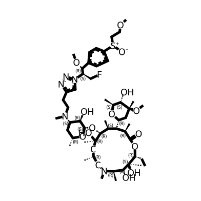 CC[C@H]1OC(=O)[C@H](C)C([C@H]2C[C@@](C)(OC)[C@@H](O)[C@H](C)O2)[C@H](C)[C@@H](O[C@@H]2O[C@H](C)C[C@H](N(C)CCc3cn([C@H](CF)[C@H](OC)c4ccc([S+]([O-])CCOC)cc4)nn3)[C@H]2O)[C@](C)(O)C[C@@H](C)CN(C)[C@H](C)[C@@H](O)[C@]1(C)O